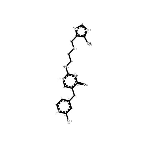 Cc1[nH]cnc1CSCCNc1ncc(Cc2ccnc(O)c2)c(=O)[nH]1